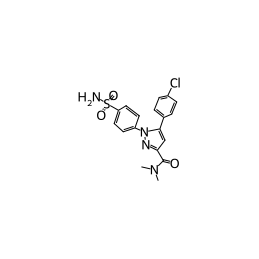 CN(C)C(=O)c1cc(-c2ccc(Cl)cc2)n(-c2ccc(S(N)(=O)=O)cc2)n1